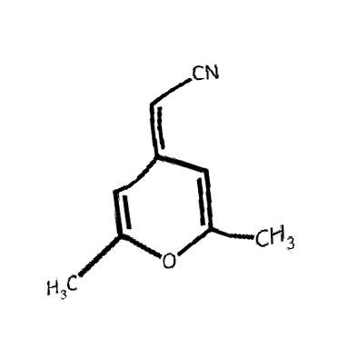 CC1=CC(=CC#N)C=C(C)O1